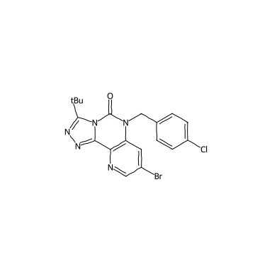 CC(C)(C)c1nnc2c3ncc(Br)cc3n(Cc3ccc(Cl)cc3)c(=O)n12